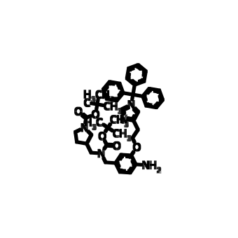 CC(C)(C)OC(=O)N1CCC(CN(Cc2ccc(N)c(OCCc3cn(C(c4ccccc4)(c4ccccc4)c4ccccc4)cn3)c2)C(=O)OC(C)(C)C)C1